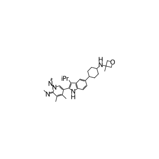 C=Nn1cc(-c2[nH]c3ccc(C4CCC(NC5(C)COC5)CC4)cc3c2C(C)C)c(C)c(C)/c1=N/C